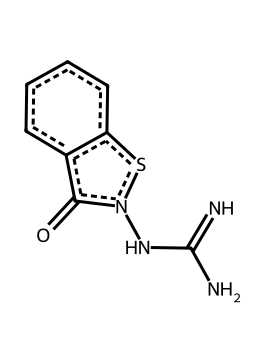 N=C(N)Nn1sc2ccccc2c1=O